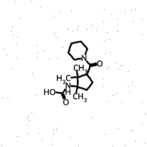 CC1(NC(=O)O)CCC(C(=O)N2CCCCC2)C1(C)C